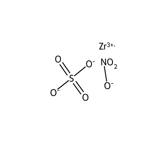 O=S(=O)([O-])[O-].O=[N+]([O-])[O-].[Zr+3]